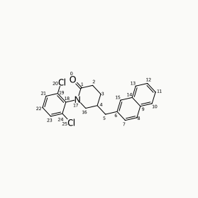 O=C1CCC(Cc2ccc3ccccc3c2)CN1c1c(Cl)cccc1Cl